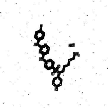 Cl.NCCCCCN(C1CCNCC1)S(=O)(=O)c1ccc(Nc2ccnc(Nc3ccc(F)cc3)n2)cc1